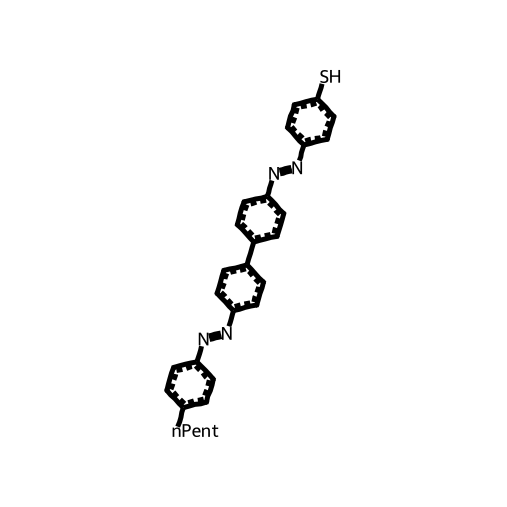 CCCCCc1ccc(/N=N/c2ccc(-c3ccc(/N=N/c4ccc(S)cc4)cc3)cc2)cc1